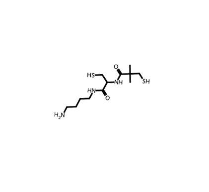 CC(C)(CS)C(=O)NC(CS)C(=O)NCCCCN